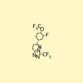 Fc1cc(-c2ccc3nnc(C(F)(F)F)n3n2)ccc1OC(F)(F)F